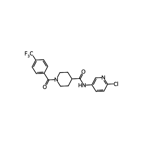 O=C(Nc1ccc(Cl)nc1)C1CCN(C(=O)c2ccc(C(F)(F)F)cc2)CC1